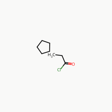 C1CCCC1.CCC(=O)Cl